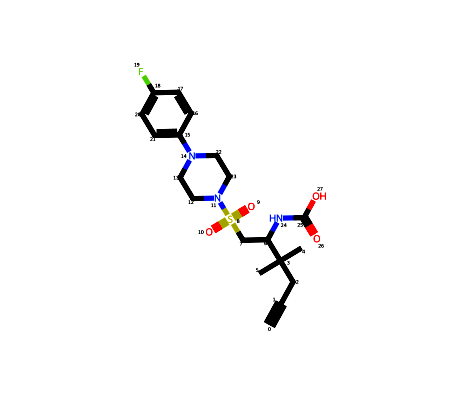 C#CCC(C)(C)C(CS(=O)(=O)N1CCN(c2ccc(F)cc2)CC1)NC(=O)O